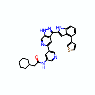 O=C(CC1CCCCC1)Nc1cncc(-c2cc3c(-c4cc5c(-c6ccsc6)cccc5[nH]4)n[nH]c3cn2)c1